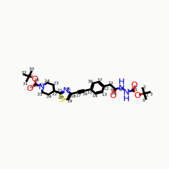 CC(C)(C)OC(=O)NNC(=O)Cc1ccc(C#Cc2csc(C3CCN(C(=O)OC(C)(C)C)CC3)n2)cc1